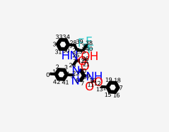 Cc1ccc(-c2ncc(NC(=O)OCc3ccccc3)c(=O)n2CC(=O)NC(Cc2ccccc2)C(O)C(F)(F)F)cc1